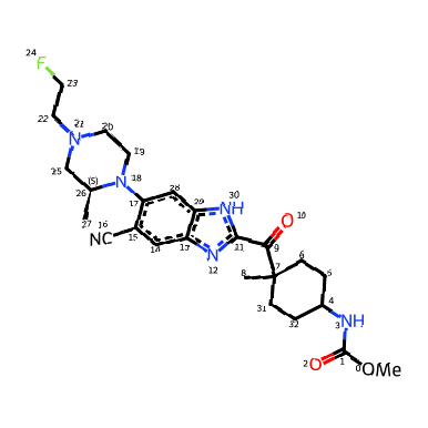 COC(=O)NC1CCC(C)(C(=O)c2nc3cc(C#N)c(N4CCN(CCF)C[C@@H]4C)cc3[nH]2)CC1